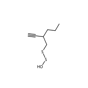 C#CC(CCC)CSSO